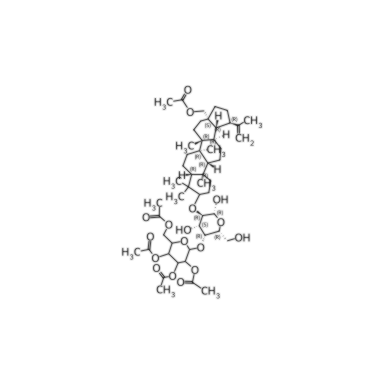 C=C(C)[C@@H]1CC[C@]2(COC(C)=O)CC[C@]3(C)[C@H](CC[C@@H]4[C@@]5(C)CCC(O[C@@H]6[C@@H](O)[C@@H](OC7OC(COC(C)=O)C(OC(C)=O)C(OC(C)=O)C7OC(C)=O)[C@@H](CO)O[C@H]6O)C(C)(C)[C@@H]5CC[C@]43C)[C@@H]12